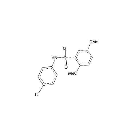 COc1ccc(OC)c(S(=O)(=O)Nc2ccc(Cl)cc2)c1